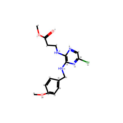 COC(=O)CCNc1ncc(Br)nc1NCc1ccc(OC)cc1